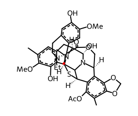 CCN1CCc2cc(O)c(OC)cc2[C@@]12CS[C@@H]1c3c(OC(C)=O)c(C)c4c(c3[C@H](COC2=O)N2C1[C@H]1c3c(cc(C)c(OC)c3O)C[C@@H]([C@@H]2O)N1C)OCO4